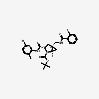 Cc1ccc(Br)nc1NC(=O)[C@@H]1C[C@@]2(CNC(=O)c3ccccc3F)C[C@H]2N1C(=O)OC(C)(C)C